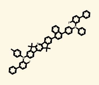 Cc1ccc(N(c2ccc3c(c2)C(C)(C)c2nc4c(cc2-3)C(C)(C)c2cc(-c3ccc(-c5ccc(N(c6ccccc6)c6cc(-c7ccccc7)ccc6F)cc5)c5ccccc35)ccc2-4)c2cc(-c3ccccc3)ccc2F)cc1